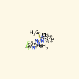 CCSc1c(-c2nc3cc(C(F)(F)F)ncc3n2C)nc(C2=CCCCC2)n1C